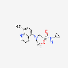 C[C@@H]1CN(c2ccc(C#N)c3ncccc23)C[C@H](C(=O)NC2CC2)O1